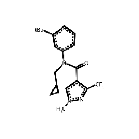 Cn1cc(C(=O)N(CC2CC2)c2cccc(C(C)(C)C)c2)c(C(F)(F)F)n1